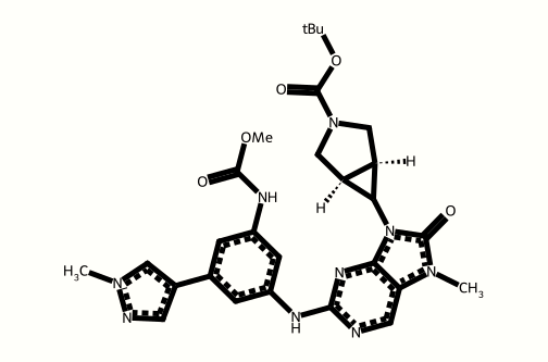 COC(=O)Nc1cc(Nc2ncc3c(n2)n(C2[C@H]4CN(C(=O)OC(C)(C)C)C[C@@H]24)c(=O)n3C)cc(-c2cnn(C)c2)c1